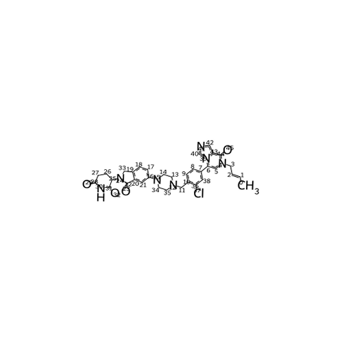 C/C=C/Cn1cc(-c2ccc(CN3CCN(c4ccc5c(c4)C(=O)N(C4CCC(=O)NC4=O)C5)CC3)c(Cl)c2)n2cncc2c1=O